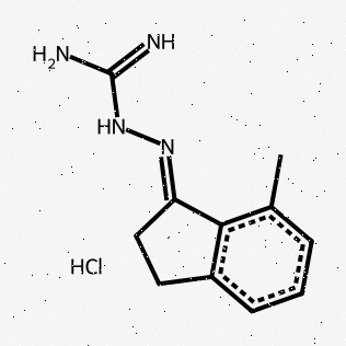 Cc1cccc2c1C(=NNC(=N)N)CC2.Cl